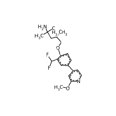 COc1cc(-c2ccc(OC[C@@H](C)CC(C)(C)N)c(C(F)F)c2)ccn1